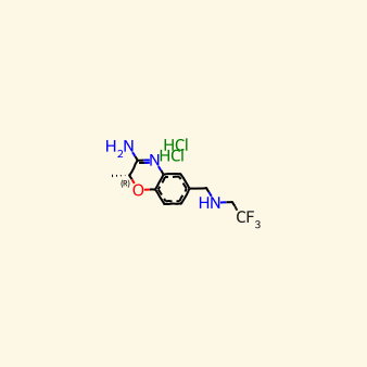 C[C@H]1Oc2ccc(CNCC(F)(F)F)cc2N=C1N.Cl.Cl